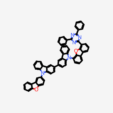 c1ccc(-c2nc(-c3ccccc3)nc(-c3cccc4c3oc3c(-n5c6ccccc6c6cc(-c7ccc8c(c7)c7ccccc7n8-c7ccc8oc9ccccc9c8c7)ccc65)cccc34)n2)cc1